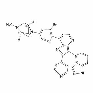 CN1C[C@@H]2C[C@H]1CN2c1ccc(-c2ccnc3c(-c4cccc5[nH]ncc45)c(-c4ccncc4)nn23)c(Br)c1